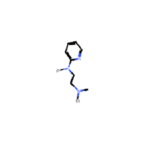 CCN(C)CCN(CC)c1ccccn1